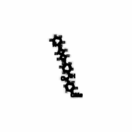 COc1ccc(C(=O)Nc2ccc(N3CC4(C3)CN(c3ccccn3)C4)cc2)cc1